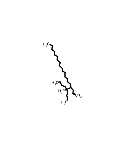 C=CCC(CCCCCCCCCCCCCCCC)C(P)(CCCC)CCCC